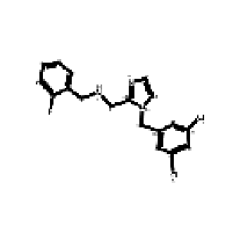 Fc1ccccc1CNCc1nccn1Cc1cc(Cl)cc(Cl)c1